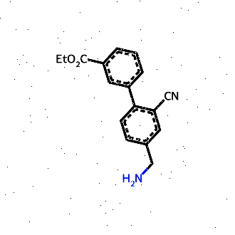 CCOC(=O)c1cccc(-c2ccc(CN)cc2C#N)c1